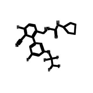 N#Cc1c(F)ccc(CNC(=O)NC2CCCC2)c1-c1cc(F)cc(OC(F)(F)C(F)F)c1